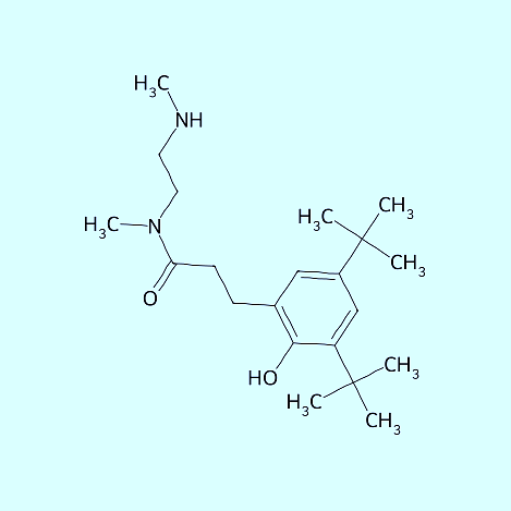 CNCCN(C)C(=O)CCc1cc(C(C)(C)C)cc(C(C)(C)C)c1O